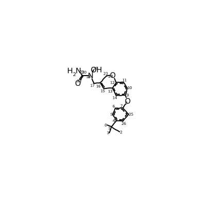 CC(C)(C)c1ccc(Oc2ccc3c(c2)C=C(CN(O)C(N)=O)CO3)cc1